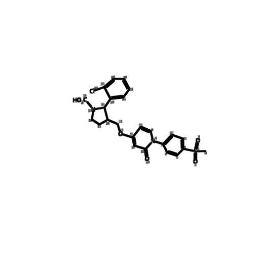 CS(=O)(=O)c1ccc(-n2ccc(OCC3CCN(C(=O)O)C3c3ccccc3Cl)cc2=O)cc1